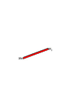 COCCOCCOCCOCCOCCOCCOCCOCCOCCOCCOCCOCCOCCOCCOCCOCCOCCOCCOCCOCCOCCOCCOCCOCCN